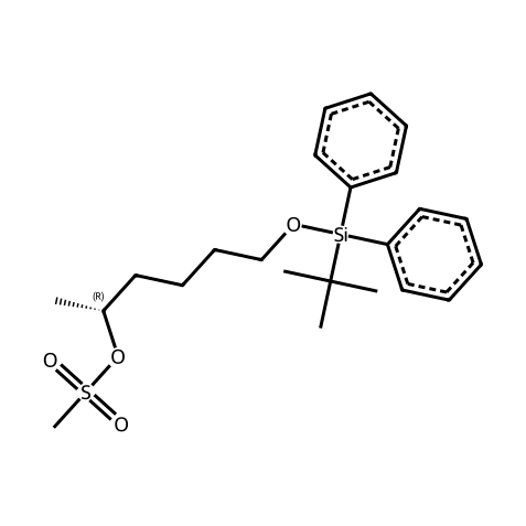 C[C@H](CCCCO[Si](c1ccccc1)(c1ccccc1)C(C)(C)C)OS(C)(=O)=O